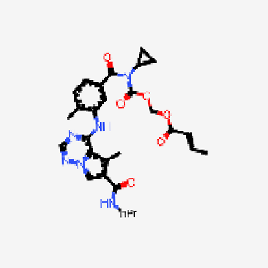 C/C=C/C(=O)OCOC(=O)N(C(=O)c1ccc(C)c(Nc2ncnn3cc(C(=O)NCCC)c(C)c23)c1)C1CC1